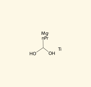 CCCC(O)O.[Mg].[Ti]